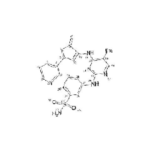 C=S1C=C(c2cccnc2)C=C1Nc1nc(Nc2cccc(S(N)(=O)=O)c2)ncc1F